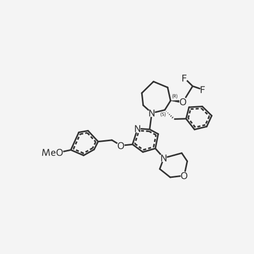 COc1ccc(COc2cc(N3CCOCC3)cc(N3CCCC[C@@H](OC(F)F)[C@@H]3Cc3ccccc3)n2)cc1